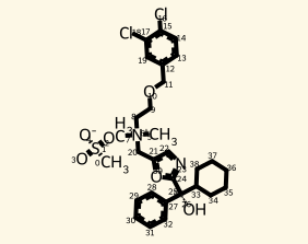 CS(=O)(=O)[O-].C[N+](C)(CCOCc1ccc(Cl)c(Cl)c1)Cc1cnc([C@](O)(c2ccccc2)C2CCCCC2)o1